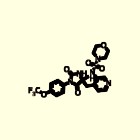 CC1(Cc2ccncc2NS(=O)(=O)N2CCOCC2)NC(=O)N(c2ccc(OC(F)(F)F)cc2)C1=O